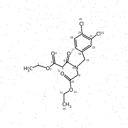 CCOC(=O)CC(=O)N(CC(=O)OCC)Cc1ccc(Cl)c(Cl)c1